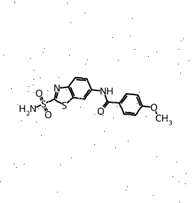 COc1ccc(C(=O)Nc2ccc3nc(S(N)(=O)=O)sc3c2)cc1